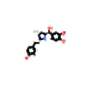 Cl.Oc1ccc(CC[C@@H]2CC[C@@H](C(O)c3ccc(O)c(O)c3)N2)cc1